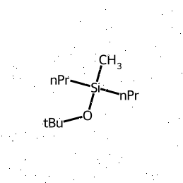 CCC[Si](C)(CCC)OC(C)(C)C